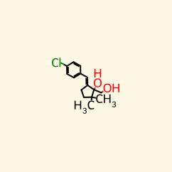 CC1(C)CC/C(=C\c2ccc(Cl)cc2)C1(O)CO